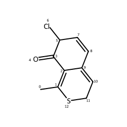 CC1=C2C(=O)C(Cl)C=CC2=CCS1